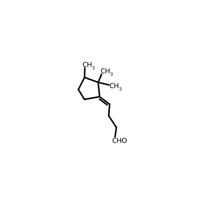 CC1CCC(=CCCC=O)C1(C)C